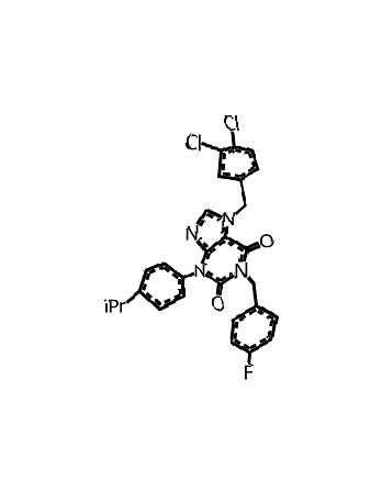 CC(C)c1ccc(-n2c(=O)n(Cc3ccc(F)cc3)c(=O)c3c2ncn3Cc2ccc(Cl)c(Cl)c2)cc1